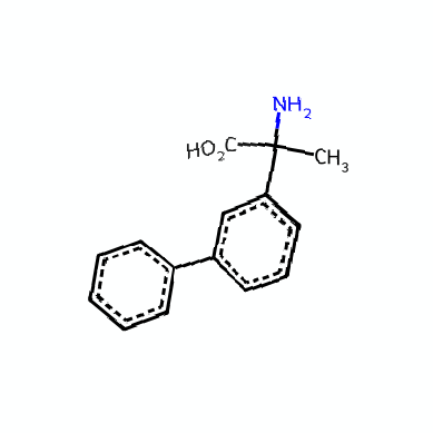 CC(N)(C(=O)O)c1cccc(-c2ccccc2)c1